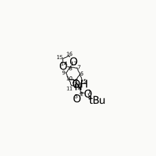 CC(C)(C)OC(=O)N1CC2CC3(CC(C1)C2O)OCCO3